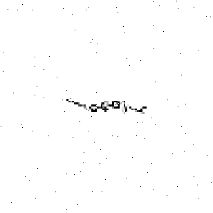 CCCCCCCCc1ccc(-c2cnc(-c3ccc(OC(=O)CCCCC(C)CC)cc3)nc2)cc1